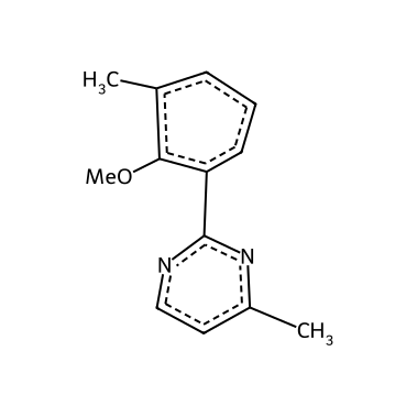 COc1c(C)cccc1-c1nccc(C)n1